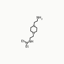 CCN(CC)NCCN1CCN(CCN)CC1